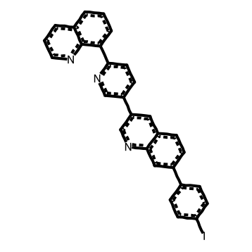 Ic1ccc(-c2ccc3cc(-c4ccc(-c5cccc6cccnc56)nc4)cnc3c2)cc1